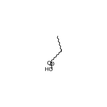 CCCCCCCC/C=C\CCCCCCCC1OCC(CO)O1